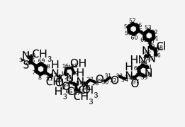 Cc1ncsc1-c1ccc([C@H](C)NC(=O)[C@@H]2C[C@@H](O)CN2C(=O)C(NC(=O)CCOCCOCCNC(=O)c2cncc(Nc3ncc(Cl)c(-c4cccc(-c5ccccc5)c4)n3)c2)C(C)(C)C)cc1